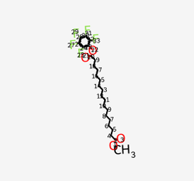 COC(=O)CCCCCCCCCCCCCCCCC(=O)Oc1c(F)c(F)c(F)c(F)c1F